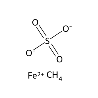 C.O=S(=O)([O-])[O-].[Fe+2]